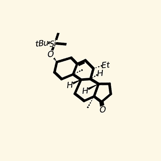 CC[C@H]1C=C2C[C@@H](O[Si](C)(C)C(C)(C)C)CC[C@]2(C)[C@H]2CC[C@]3(C)C(=O)CC[C@H]3[C@H]12